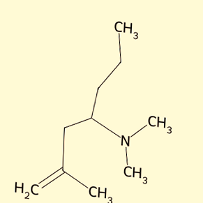 C=C(C)CC(CCC)N(C)C